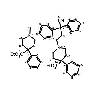 CCOC(=O)C1(c2ccccc2)CCN(C)CC1.CCOC(=O)C1(c2ccccc2)CCN(CCC(C#N)(c2ccccc2)c2ccccc2)CC1